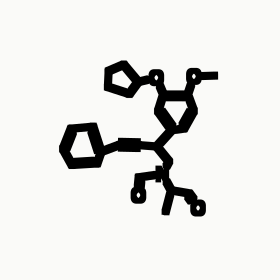 COc1ccc(C(C#Cc2ccccc2)CN(C=O)C(C)C=O)cc1OC1CCCC1